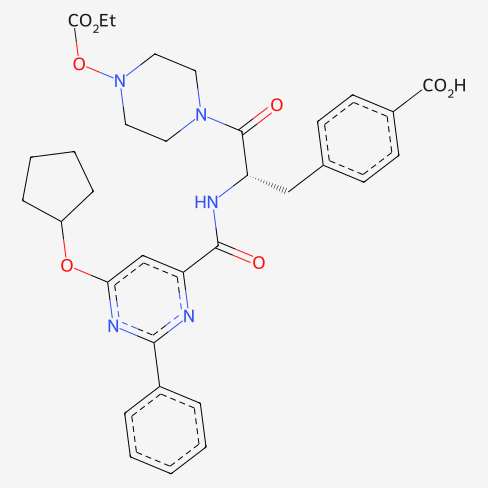 CCOC(=O)ON1CCN(C(=O)[C@H](Cc2ccc(C(=O)O)cc2)NC(=O)c2cc(OC3CCCC3)nc(-c3ccccc3)n2)CC1